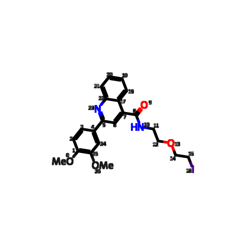 COc1ccc(-c2cc(C(=O)NCCOCCI)c3ccccc3n2)cc1OC